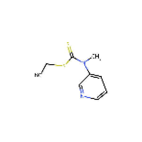 CN(C(=S)SCC#N)c1cccnc1